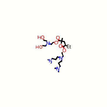 CCC(CC(C)(C)C(=O)OCCN(CCO)CCO)C(=O)OCCN(CCCN(C)C)CCCN(C)C